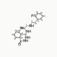 O=C1NNC2NC(CNCCc3ccccc3F)=Nc3cccc1c32